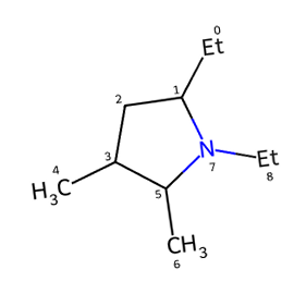 CCC1CC(C)C(C)N1CC